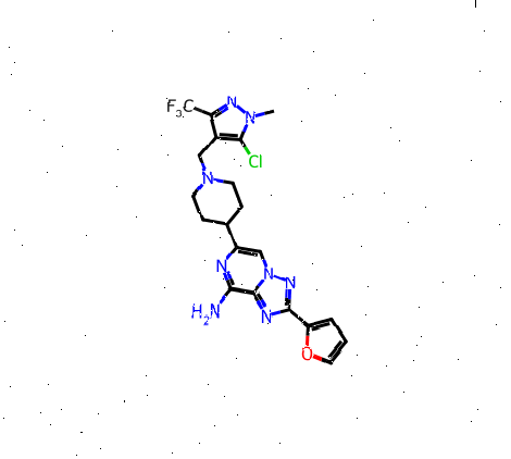 Cn1nc(C(F)(F)F)c(CN2CCC(c3cn4nc(-c5ccco5)nc4c(N)n3)CC2)c1Cl